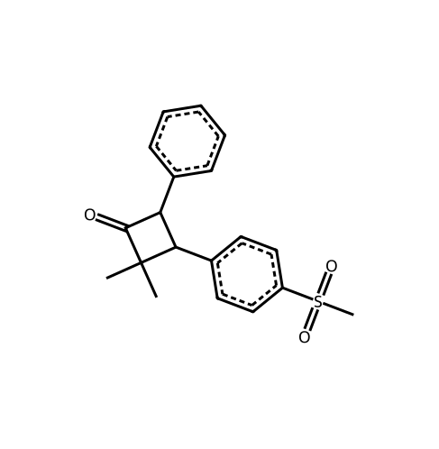 CC1(C)C(=O)C(c2ccccc2)C1c1ccc(S(C)(=O)=O)cc1